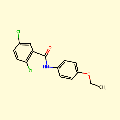 CCOc1ccc(NC(=O)c2cc(Cl)ccc2Cl)cc1